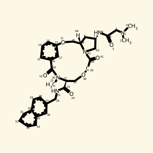 CN(C)CC(=O)N[C@H]1C[C@H]2COc3cccc(c3)C(=O)N(C)[C@H](C(=O)NCc3ccc4ccccc4c3)COCC(=O)N2C1